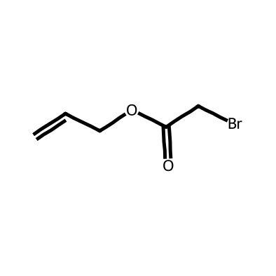 C=CCOC(=O)CBr